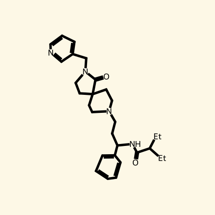 CCC(CC)C(=O)NC(CCN1CCC2(CC1)CCN(Cc1cccnc1)C2=O)c1ccccc1